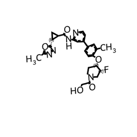 Cc1nnc([C@@H]2CC2C(=O)Nc2cc(-c3ccc(O[C@H]4CCN(C(=O)CO)C[C@H]4F)c(C)c3)ccn2)o1